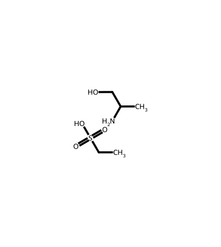 CC(N)CO.CCS(=O)(=O)O